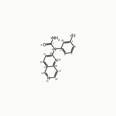 CCc1cccc(N(C(N)=O)c2ccc3cnccc3n2)c1